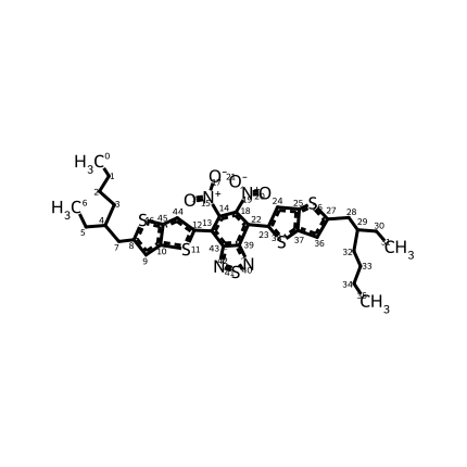 CCCCC(CC)Cc1cc2sc(-c3c([N+](=O)[O-])c([N+](=O)[O-])c(-c4cc5sc(CC(CC)CCCC)cc5s4)c4nsnc34)cc2s1